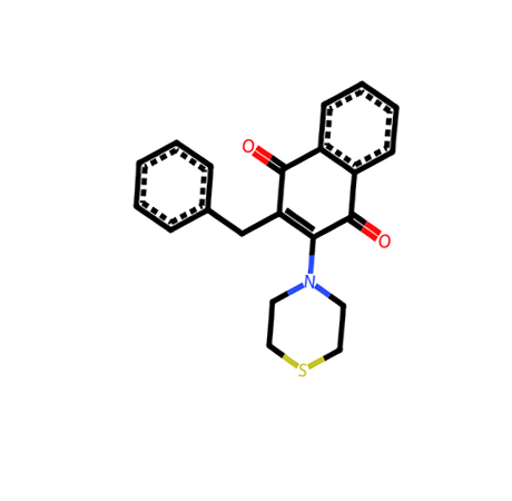 O=C1C(Cc2ccccc2)=C(N2CCSCC2)C(=O)c2ccccc21